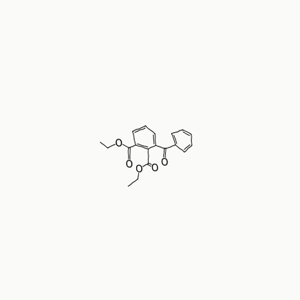 CCOC(=O)c1cccc(C(=O)c2ccccc2)c1C(=O)OCC